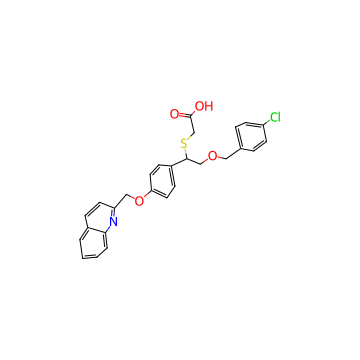 O=C(O)CSC(COCc1ccc(Cl)cc1)c1ccc(OCc2ccc3ccccc3n2)cc1